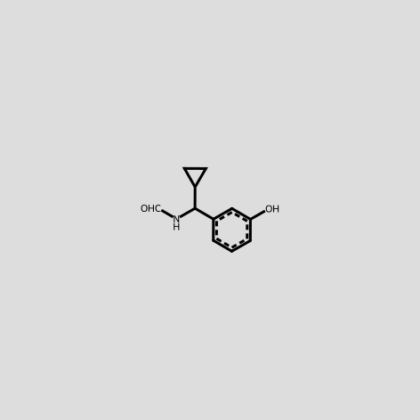 O=CNC(c1cccc(O)c1)C1CC1